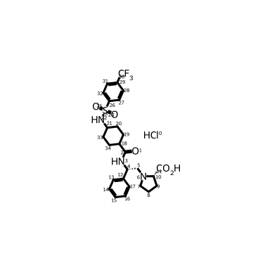 Cl.O=C(N[C@H](CN1CCC[C@H]1C(=O)O)c1ccccc1)C1CCC(NS(=O)(=O)c2ccc(C(F)(F)F)cc2)CC1